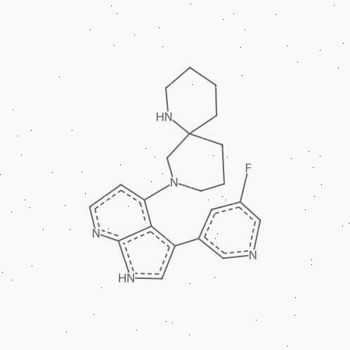 Fc1cncc(-c2c[nH]c3nccc(N4CCCC5(CCCCN5)C4)c23)c1